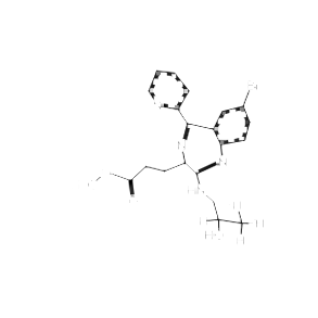 [2H]C([2H])([2H])C([2H])(O)CNC1=Nc2ccc(Br)cc2C(c2ccccn2)=NC1CCC(=O)OC